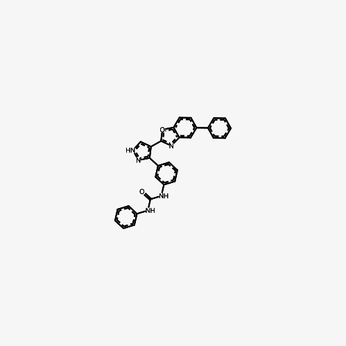 O=C(Nc1ccccc1)Nc1cccc(-c2n[nH]cc2-c2nc3cc(-c4ccccc4)ccc3o2)c1